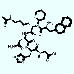 CC(=O)NCCCC[C@@H](C(=O)N[C@@H](CC(N)=O)C(=O)N[C@@H](Cc1c[nH]cn1)C(=O)N(C)CC(=O)O)N(C(=O)[C@@H](N)Cc1ccc2ccccc2c1)C1CCCCO1